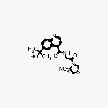 CC(C)(O)c1ccc2nccc(C(=O)NCC(=O)N3CSC[C@H]3C#N)c2c1